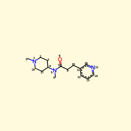 CN1CCC(N(C)C(=O)CCc2cccnc2)CC1